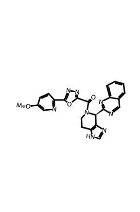 COc1ccc(-c2nnc(C(=O)N3CCc4[nH]cnc4[C@@H]3c3ncc4ccccc4n3)o2)nc1